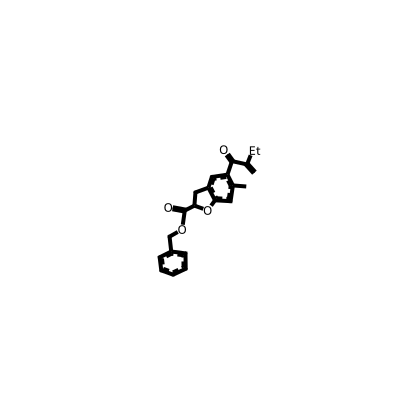 C=C(CC)C(=O)c1cc2c(cc1C)OC(C(=O)OCc1ccccc1)C2